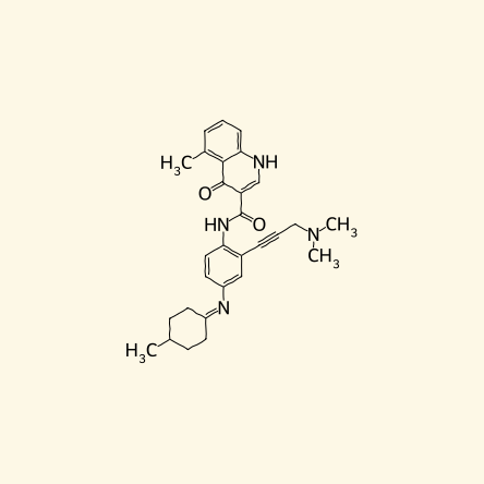 Cc1cccc2[nH]cc(C(=O)Nc3ccc(N=C4CCC(C)CC4)cc3C#CCN(C)C)c(=O)c12